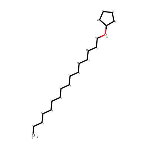 [CH2]CCCCCCCCCCCCCCCOC1C[CH]CC1